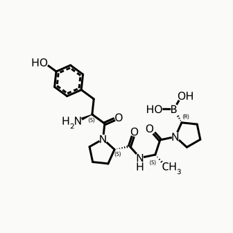 C[C@H](NC(=O)[C@@H]1CCCN1C(=O)[C@@H](N)Cc1ccc(O)cc1)C(=O)N1CCC[C@H]1B(O)O